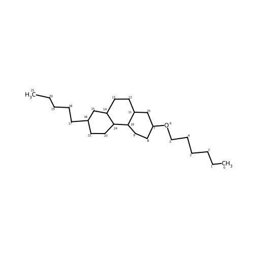 CCCCCCOC1CCC2C(CCC3CC(CCCCC)CCC32)C1